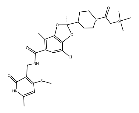 CSc1cc(C)[nH]c(=O)c1CNC(=O)c1cc(Cl)c2c(c1C)O[C@@](C)(C1CCN(C(=O)C[Si](C)(C)C)CC1)O2